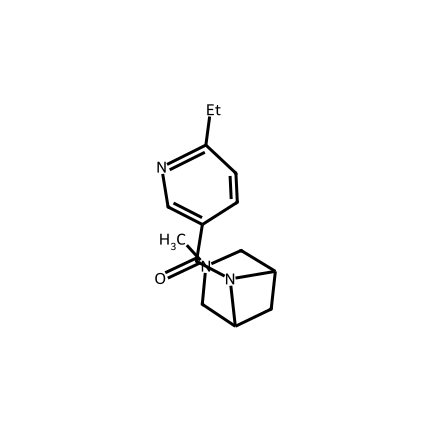 CCc1ccc(C(=O)N2C3CC2CN(C)C3)cn1